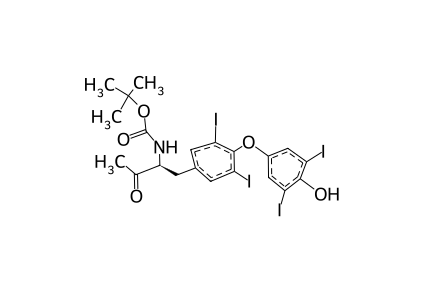 CC(=O)[C@H](Cc1cc(I)c(Oc2cc(I)c(O)c(I)c2)c(I)c1)NC(=O)OC(C)(C)C